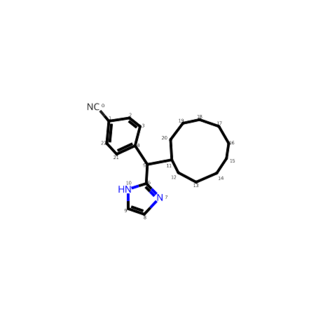 N#Cc1ccc(C(c2ncc[nH]2)C2CCCCCCCCC2)cc1